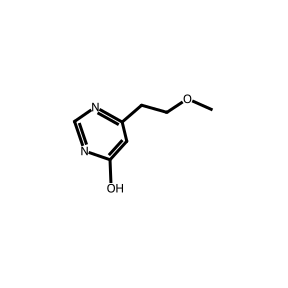 COCCc1cc(O)ncn1